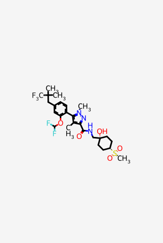 Cc1c(C(=O)NC[C@]2(O)CC[C@@H](S(C)(=O)=O)CC2)nn(C)c1-c1ccc(CC(C)(C)C(F)(F)F)cc1OC(F)F